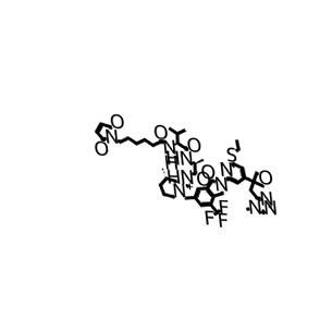 CCSc1cc(C2(Cc3nncn3C)COC2)cc(N2Cc3c(cc(C[N+]4(CNC(=O)[C@H](C)NC(=O)[C@@H](NC(=O)CCCCCN5C(=O)C=CC5=O)C(C)C)CCC[C@H](C)C4)cc3C(F)(F)F)C2=O)n1